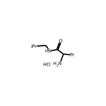 CC(C)CNC(=O)C(N)C(C)C.Cl